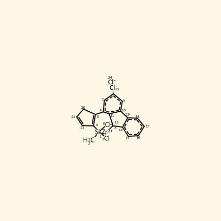 C[Si](C)(Cl)C1=C(c2cccc3c2[CH]([Zr+2])c2ccccc2-3)CC=C1.[Cl-].[Cl-]